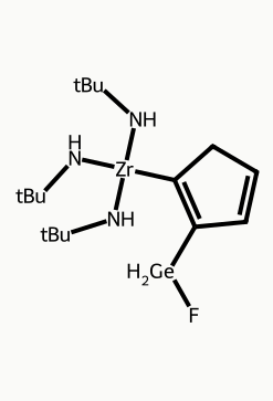 CC(C)(C)[NH][Zr]([NH]C(C)(C)C)([NH]C(C)(C)C)[C]1=[C]([GeH2][F])C=CC1